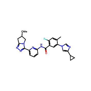 COC1Cc2nnc(-c3cccc(NC(=O)c4cc(-n5cnc(C6CC6)c5)c(C)cc4F)n3)n2C1